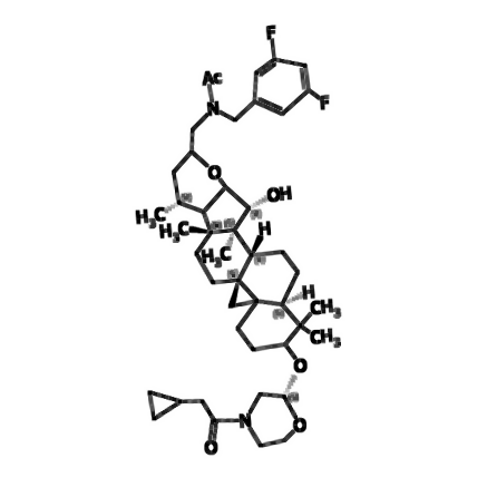 CC(=O)N(Cc1cc(F)cc(F)c1)CC1C[C@@H](C)C2C(O1)[C@H](O)[C@@]1(C)[C@@H]3CC[C@H]4C(C)(C)C(O[C@H]5CN(C(=O)CC6CC6)CCO5)CCC45C[C@@]35CC[C@]21C